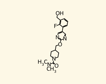 CN(C)C(=O)N1CCC(COc2ncc(-c3cccc(CO)c3F)cn2)CC1